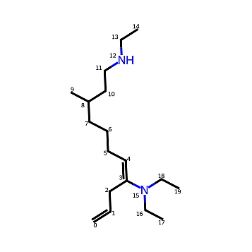 C=CC/C(=C\CCCC(C)CCNCC)N(CC)CC